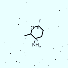 CC1O[C@H](C)CC[C@@H]1N